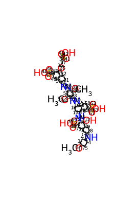 COc1ccc(Nc2ccc3c(O)c(N=Nc4ccc(N=Nc5cc(OC)c(N=Nc6ccc7c(OCCCS(=O)(=O)O)cc(S(=O)(=O)O)cc7c6)cc5OC)c5ccc(S(=O)(=O)O)cc45)c(S(=O)(=O)O)cc3c2)cc1